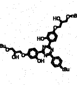 CCCCOCC(O)COc1ccc(-c2nc(-c3ccc(C(C)(C)C)cc3)nc(-c3ccc(OCC(O)COCCCC)cc3O)n2)c(O)c1